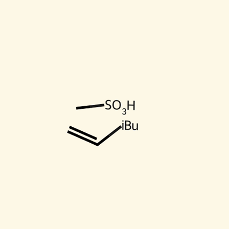 C=CC(C)CC.CS(=O)(=O)O